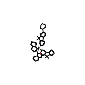 CC1(C)c2ccccc2-c2cc(N(c3ccc4c(c3)C(C)(C)c3cc(C5CCCCC5)ccc3-4)c3c(-c4cccc5ccccc45)ccc4ccccc34)ccc21